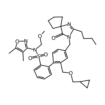 CCCCC1=NC2(CCCC2)C(=O)N1Cc1ccc(-c2ccccc2S(=O)(=O)N(COC)c2noc(C)c2C)c(COCC2CC2)c1